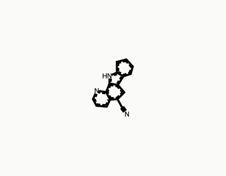 N#Cc1cc2c3ccccc3[nH]c2c2ncccc12